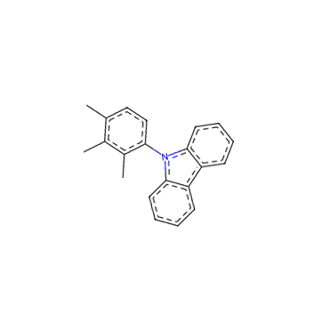 Cc1ccc(-n2c3ccccc3c3ccccc32)c(C)c1C